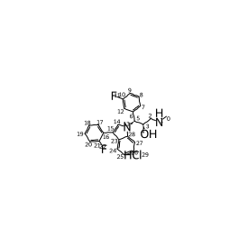 CNC[C@@H](O)[C@H](c1cccc(F)c1)n1cc(-c2ccccc2F)c2ccccc21.Cl